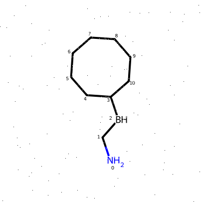 NCBC1CCCCCCC1